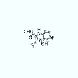 O=CC(=O)C1=C(C2CC2)N(O)c2cc(F)ccc2N1